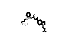 CC(C)=CCn1ccc2cc(/C(C)=C/C(=O)Nc3ccccc3OCCCC(=O)O)ccc21